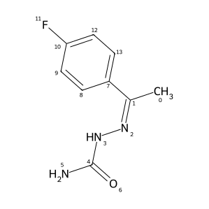 C/C(=N/NC(N)=O)c1ccc(F)cc1